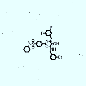 CCc1cccc(CNC[C@H](O)[C@H](Cc2cc(F)cc(F)c2)NC(=O)c2ccc(S(=O)(=O)N(C)C3CCCCC3)cc2)c1